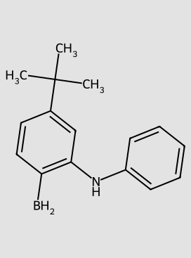 Bc1ccc(C(C)(C)C)cc1Nc1ccccc1